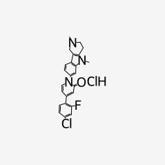 CN1CCc2c(c3ccc(-n4ccc(-c5ccc(Cl)cc5F)cc4=O)cc3n2C)C1.Cl